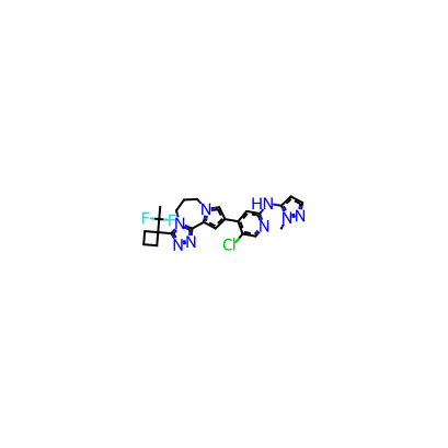 Cn1nccc1Nc1cc(-c2cc3n(c2)CCCn2c-3nnc2C2(C(C)(F)F)CCC2)c(Cl)cn1